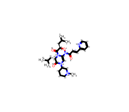 CC(C)C[C@H]1ON(C(=O)/C=C/c2ccccn2)C2=CN(C3CCCN(C)C3)C(=O)[C@H](CC(C)C)N2C1=O